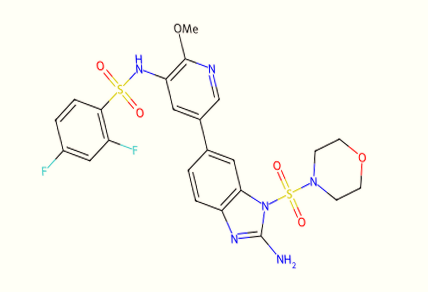 COc1ncc(-c2ccc3nc(N)n(S(=O)(=O)N4CCOCC4)c3c2)cc1NS(=O)(=O)c1ccc(F)cc1F